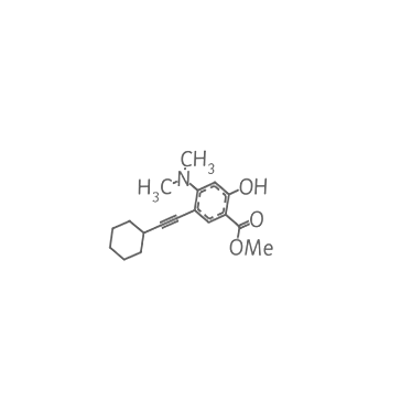 COC(=O)c1cc(C#CC2CCCCC2)c(N(C)C)cc1O